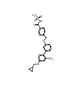 Cc1cc(OCC2CC2)cnc1-c1cccc(OCc2ccc(C(=O)NS(C)(=O)=O)cc2)c1